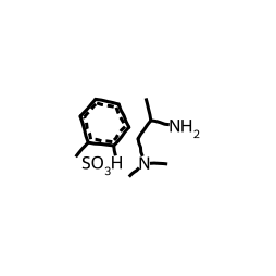 CC(N)CN(C)C.Cc1ccccc1S(=O)(=O)O